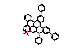 CC(C)(C)c1cc2c3c(c1)N(c1ccccc1)c1cc(-c4ccccc4)ccc1B3c1ccc(-c3ccccc3)cc1N2C1=C(c2ccccc2)C=CCC1